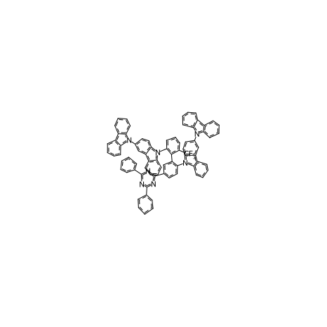 FC(F)(F)c1cccc(-n2c3ccccc3c3cc(-n4c5ccccc5c5ccccc54)ccc32)c1-c1cc(-c2nc(-c3ccccc3)nc(-c3ccccc3)n2)ccc1-n1c2ccccc2c2cc(-n3c4ccccc4c4ccccc43)ccc21